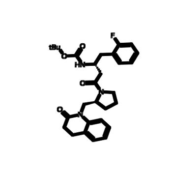 CC(C)(C)OC(=O)N[C@@H](CC(=O)N1CCC[C@H]1CN1C(=O)CCc2ccccc21)Cc1ccccc1F